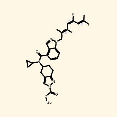 C\C(Cn1ncc2c(C(=O)N(C3CC3)C3CCc4nn(C(=O)OC(C)(C)C)cc4C3)cccc21)=C(F)/C=C(F)\C=C(/C)F